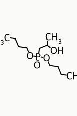 CCCCOP(=O)(CC(C)O)OCCCC